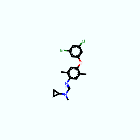 Cc1cc(Oc2cc(Cl)cc(Br)c2)c(C)cc1/N=C/N(C)C1CC1